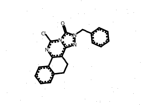 O=c1n(Cc2ccccc2)nc2c3c(nc(Cl)n12)-c1ccccc1CC3